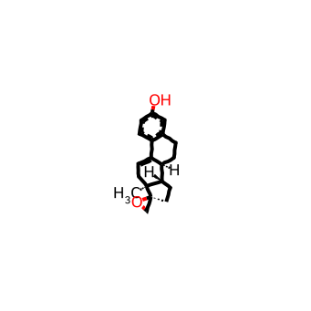 C[C@]12CC=C3c4ccc(O)cc4CC[C@H]3[C@@H]1CC[C@@]21CO1